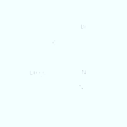 CCOC(=O)c1c(C)nn2ccc(Br)c(Cl)c12